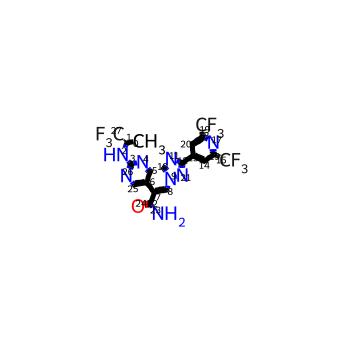 C[C@H](Nc1ncc(/C(=C\n2cnc(-c3cc(C(F)(F)F)nc(C(F)(F)F)c3)n2)C(N)=O)cn1)C(F)(F)F